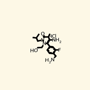 CC(C)CN1C(=O)C(C)C(N)=C(c2ccc(CN)c(F)c2)N1CCO.Cl